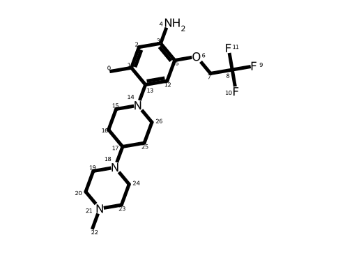 Cc1cc(N)c(OCC(F)(F)F)cc1N1CCC(N2CCN(C)CC2)CC1